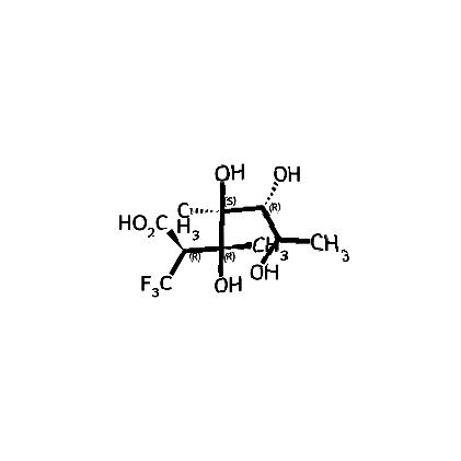 CC(O)[C@@H](O)[C@](C)(O)[C@](C)(O)[C@H](C(=O)O)C(F)(F)F